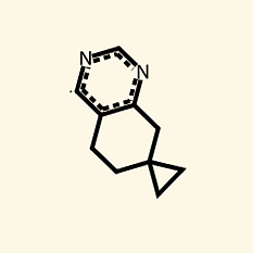 [c]1ncnc2c1CCC1(CC1)C2